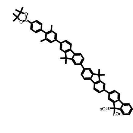 CCCCCCCCC1(CCCCCCCC)c2ccccc2-c2ccc(-c3ccc4c(c3)C(C)(C)c3cc(-c5ccc6c(c5)C(C)(C)c5cc(-c7cc(C)c(-c8ccc(B9OC(C)(C)C(C)(C)O9)cc8)c(C)c7)ccc5-6)ccc3-4)cc21